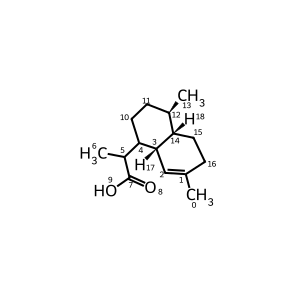 CC1=C[C@@H]2C(C(C)C(=O)O)CC[C@@H](C)[C@@H]2CC1